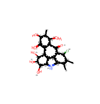 Cc1c(O)c(O)c2c(c1O)c(=O)c1c(Cl)c(C)c(C)c3[nH]c4c(O)c(O)c(O)c2c4c31